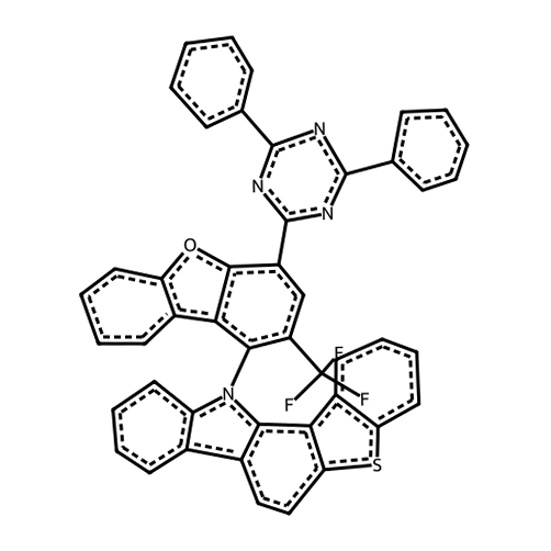 FC(F)(F)c1cc(-c2nc(-c3ccccc3)nc(-c3ccccc3)n2)c2oc3ccccc3c2c1-n1c2ccccc2c2ccc3sc4ccccc4c3c21